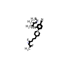 C=C(F)/C=C(/F)CCCC1CCN(c2ccc(C#N)cc2NC(=C)C(=C)/C=N\C)CC1